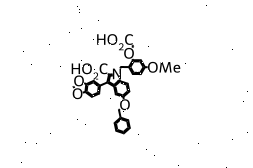 COc1ccc(Cn2c(C(=O)O)c(-c3ccc4c(c3)OCO4)c3cc(OCc4ccccc4)ccc32)c(OCC(=O)O)c1